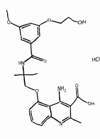 COc1cc(OCCO)cc(C(=O)NC(C)(C)COc2cccc3nc(C)c(C(=O)O)c(N)c23)c1.Cl